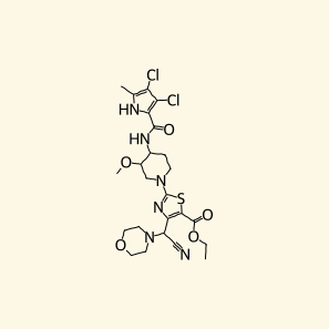 CCOC(=O)c1sc(N2CCC(NC(=O)c3[nH]c(C)c(Cl)c3Cl)C(OC)C2)nc1C(C#N)N1CCOCC1